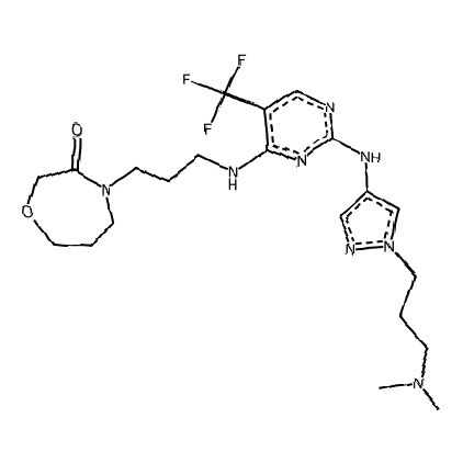 CN(C)CCCn1cc(Nc2ncc(C(F)(F)F)c(NCCCN3CCCOCC3=O)n2)cn1